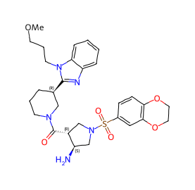 COCCCn1c([C@@H]2CCCN(C(=O)[C@@H]3CN(S(=O)(=O)c4ccc5c(c4)OCCO5)C[C@H]3N)C2)nc2ccccc21